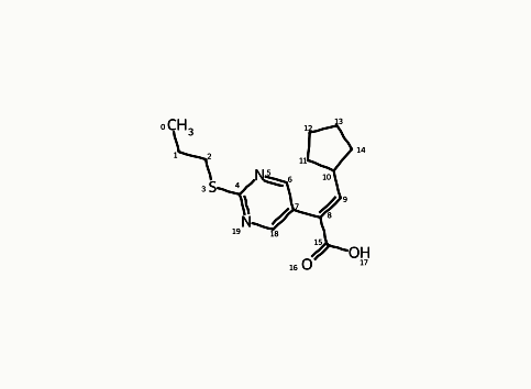 CCCSc1ncc(/C(=C\C2CCCC2)C(=O)O)cn1